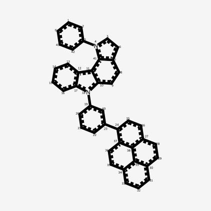 c1ccc(-n2ccc3ccc4c(c5ccccc5n4-c4cccc(-c5ccc6ccc7cccc8ccc5c6c78)c4)c32)cc1